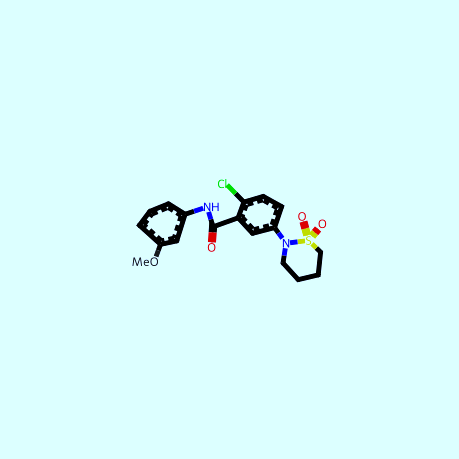 COc1cccc(NC(=O)c2cc(N3CCCCS3(=O)=O)ccc2Cl)c1